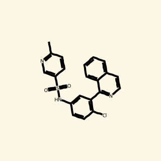 Cc1ccc(S(=O)(=O)Nc2ccc(Cl)c(-c3nccc4ccccc34)c2)cn1